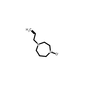 C=CCN1C[CH]C[S+]([O-])CC1